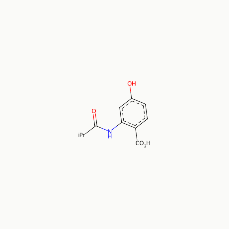 CC(C)C(=O)Nc1cc(O)ccc1C(=O)O